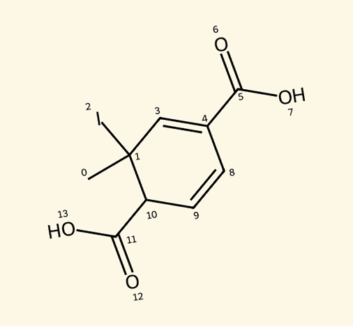 CC1(I)C=C(C(=O)O)C=CC1C(=O)O